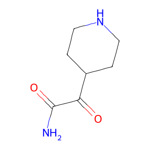 NC(=O)C(=O)C1CCNCC1